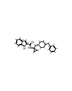 O=C(NC1(CN2CCC(Cc3ccccc3)CC2)CC1)c1cc2ccccc2[nH]1